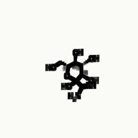 N=C(N)C1(O)O[C@H](CO)[C@@H](O)[C@H](O)[C@H]1O